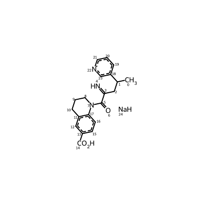 CC(CC(=N)C(=O)N1CCCc2cc(C(=O)O)ccc21)c1cccnc1.[NaH]